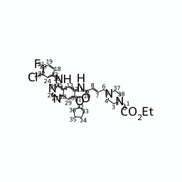 CCOC(=O)CN1CCN(CC=CC(=O)Nc2cc3c(Nc4ccc(F)c(Cl)c4)ncnc3cc2OC2CCCC2)CC1